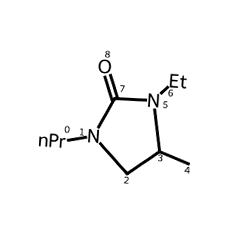 CCCN1CC(C)N(CC)C1=O